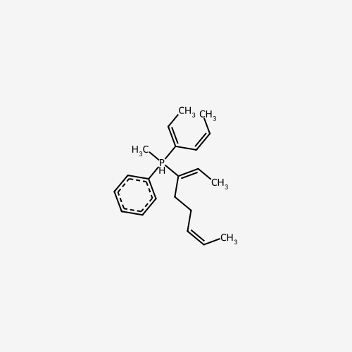 C/C=C\CC/C(=C\C)[PH](C)(C(/C=C\C)=C/C)c1ccccc1